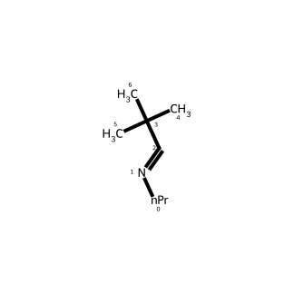 CCC/N=C/C(C)(C)C